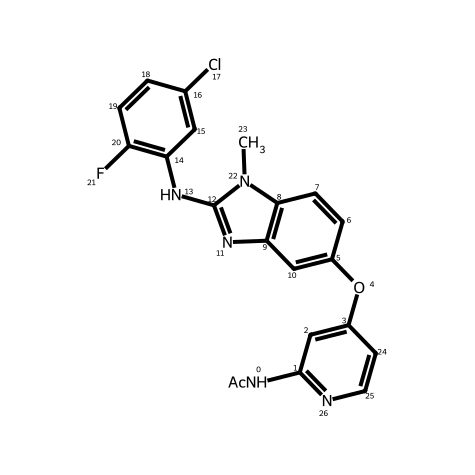 CC(=O)Nc1cc(Oc2ccc3c(c2)nc(Nc2cc(Cl)ccc2F)n3C)ccn1